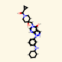 O=C(C1CC1)N1CCC(O)(Cn2cnc3c(cnn3-c3cccc(NC4CCCCC4)c3)c2=O)CC1